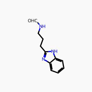 O=CNCCCc1nc2ccccc2[nH]1